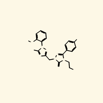 Cc1nc(Cn2nc(-c3ccc(Cl)cc3)n(CCC(F)(F)F)c2=O)nn1-c1ccccc1OC(F)(F)F